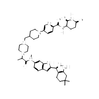 CC(C(=O)N(C)c1ccc2cc(-c3n[nH]c4c3CCC(C)(C)C4)[nH]c2c1)N1CCN(CC2CCN(c3ccc(C(=O)NC4CCC(=O)NC4=O)nc3)CC2)CC1